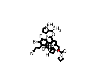 C[C@H](Oc1nc2c(F)c(Br)c(CCC#N)cc2c2c1cc(CCC(=O)N1CCC1)n2[C@H]1[C@@H]2C[C@H]1N(C(=O)O)C2)C1CCCN1C